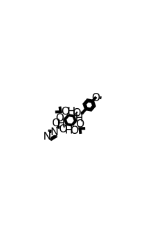 COc1ccc(CO[C@H]2[C@@H]3OC(C)(C)O[C@H]3[C@H](OC(=O)n3ccnc3)[C@@H]3OC(C)(C)O[C@@H]23)cc1